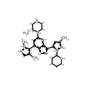 Cc1cc(-c2nsc3c(-c4c(C)cnn4C)cc(N4CCOC[C@H]4C)nc23)n(C2CCCCO2)n1